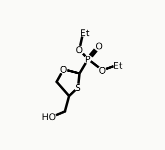 CCOP(=O)(OCC)C1OCC(CO)S1